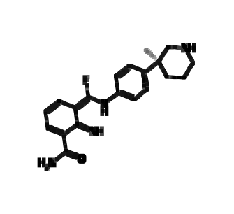 C[C@@]1(c2ccc(N/C(F)=C3/C=CC=C(C(N)=O)C3=N)cc2)CCCNC1